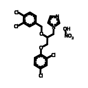 Clc1ccc(OCC(Cn2ccnc2)OCc2ccc(Cl)c(Cl)c2)c(Cl)c1.O=[N+]([O-])O